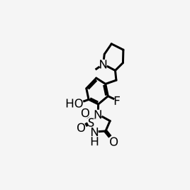 CN1CCCCC1Cc1ccc(O)c(N2CC(=O)NS2(=O)=O)c1F